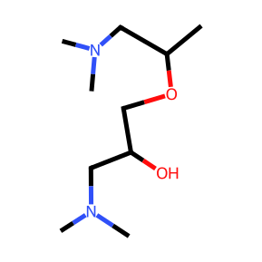 CC(CN(C)C)OCC(O)CN(C)C